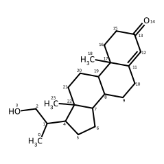 CC(CO)C1CCC2C3CCC4=CC(=O)CCC4(C)C3CCC12C